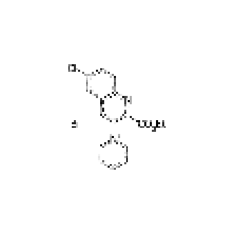 CCOC(=O)c1nc2ccc(Cl)cc2cc1-[n+]1ccccc1.[Br-]